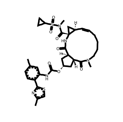 Cc1ccc(-c2nc(C)cs2)c(NC(=O)O[C@@H]2C[C@H]3C(=O)N[C@]4(C(=O)N(C)S(=O)(=O)C5CC5)C[C@H]4/C=C\CCCCN(C)C(=O)[C@@H]3C2)c1